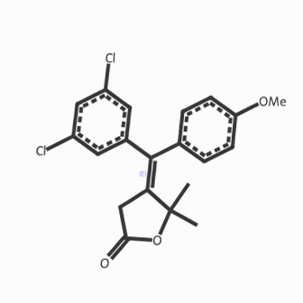 COc1ccc(/C(=C2/CC(=O)OC2(C)C)c2cc(Cl)cc(Cl)c2)cc1